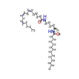 CCCCC/C=C\C/C=C\C/C=C\CCCCC(=O)NCCCC[C@@H](C)NC(=O)CCCCCCCCCCCCC